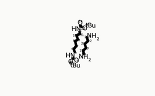 CC(C)(C)OC(=O)NCCCCCCCNC(=O)OC(C)(C)C.NCCCCCCN